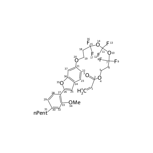 C=CC(=O)OCCC(F)(F)OC(F)(F)OC(F)(F)CCOc1ccc2cc(-c3ccc(CCCCC)cc3OC)oc2c1